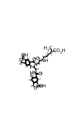 C[C@@H](CCCCNC(=O)CN(CCNC(=O)c1cc2c(cc1F)COB2O)C(=O)c1cc2c(cc1F)COB2O)C(=O)O